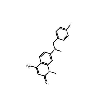 CN(Cc1ccc(F)cc1)c1ccc2c(C(F)(F)F)cc(=O)n(C)c2c1